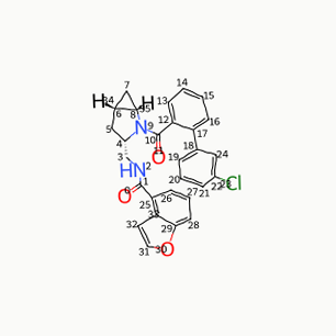 O=C(NC[C@@H]1C[C@@H]2C[C@@H]2N1C(=O)c1ccccc1-c1cccc(Cl)c1)c1cccc2occc12